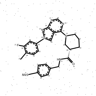 CSc1ccc(CNC(=O)[C@H]2CCCN(c3ncnc4nn(-c5ccc(C)c(F)c5)cc34)C2)cc1